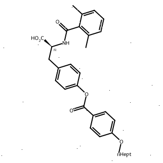 CCCCCCCOc1ccc(C(=O)Oc2ccc(C[C@H](NC(=O)c3c(C)cccc3C)C(=O)O)cc2)cc1